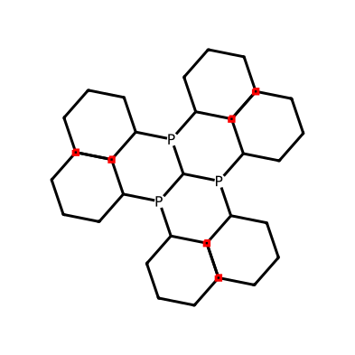 C1CCC(P(C2CCCCC2)C(P(C2CCCCC2)C2CCCCC2)P(C2CCCCC2)C2CCCCC2)CC1